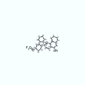 CC(C)c1cc2ccccc2c2c1C=CC(c1ccccc1)(c1ccc(OC(F)(F)F)cc1)O2